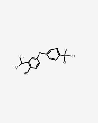 CC(C)c1cc(Oc2ccc(C(O)(Cl)Cl)cc2)ccc1O